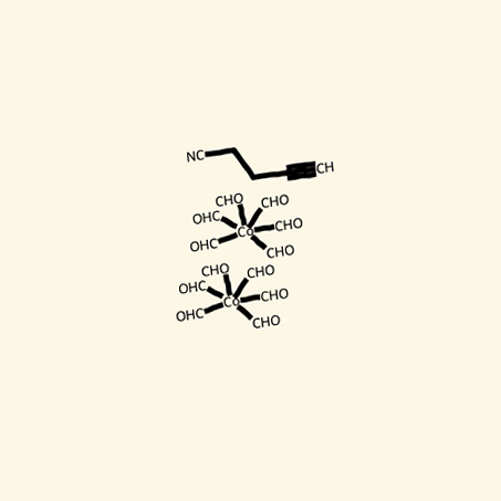 C#CCCC#N.O=[CH][Co]([CH]=O)([CH]=O)([CH]=O)([CH]=O)[CH]=O.O=[CH][Co]([CH]=O)([CH]=O)([CH]=O)([CH]=O)[CH]=O